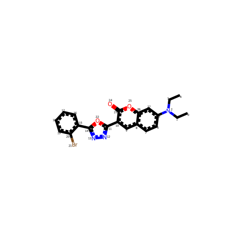 CCN(CC)c1ccc2cc(-c3nnc(-c4ccccc4Br)o3)c(=O)oc2c1